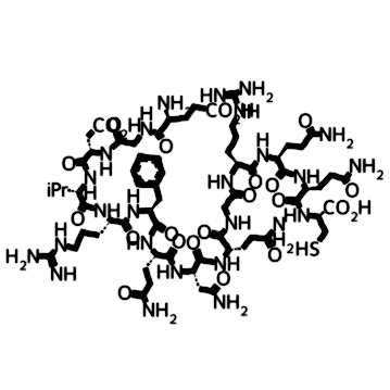 CC(C)[C@H](NC(=O)[C@H](CC(=O)O)NC(=O)CNC(=O)[C@@H](N)CCC(=O)O)C(=O)N[C@@H](CCCNC(=N)N)C(=O)N[C@@H](Cc1ccccc1)C(=O)N[C@@H](CCC(N)=O)C(=O)N[C@@H](CC(N)=O)C(=O)N[C@@H](CCC(N)=O)C(=O)NCC(=O)N[C@@H](CCCNC(=N)N)C(=O)N[C@@H](CCC(N)=O)C(=O)N[C@@H](CCC(N)=O)C(=O)N[C@@H](CS)C(=O)O